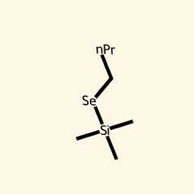 CCCC[Se][Si](C)(C)C